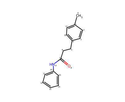 Cc1ccc(CCC(=O)Nc2ccccc2)cc1